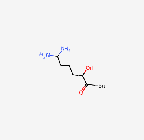 CCCCC(=O)C(O)CCCC(N)N